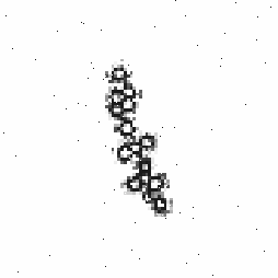 c1ccc(-c2ccc3ccc4c(-c5ccc(-c6c7ccccc7c(-c7ccc8c(c7)c7ccccc7c7c8ccc8c9ccccc9oc87)c7ccccc67)cc5)ccc5ccc2c3c54)cc1